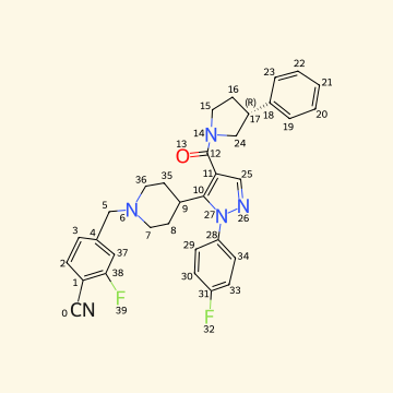 N#Cc1ccc(CN2CCC(c3c(C(=O)N4CC[C@H](c5ccccc5)C4)cnn3-c3ccc(F)cc3)CC2)cc1F